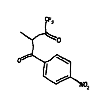 CC(C(=O)c1ccc([N+](=O)[O-])cc1)C(=O)C(F)(F)F